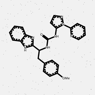 COc1ccc(CC(NC(=O)Nc2ccnn2-c2ccccn2)c2nc3ccccc3[nH]2)cc1